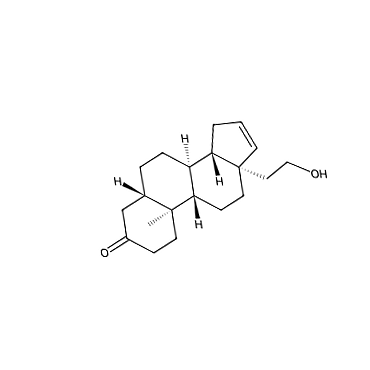 C[C@]12CCC(=O)C[C@@H]1CC[C@H]1[C@@H]3CC=C[C@@]3(CCO)CC[C@@H]12